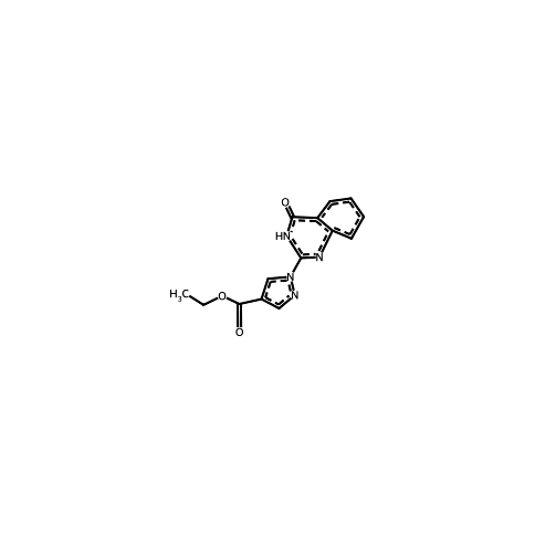 CCOC(=O)c1cnn(-c2nc3ccccc3c(=O)[nH]2)c1